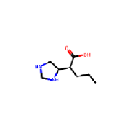 CCCC(C(=O)O)C1CNCN1